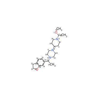 CO[C@@H](C)N1CCC(N2CCN(C(C)c3ccc4c(c3)OCC4)CC2)CC1